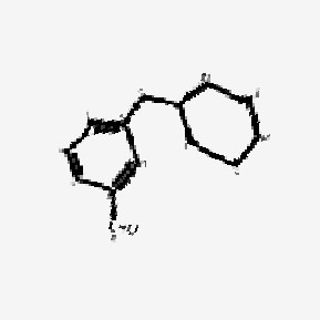 O=Cc1cccc(CC2CCCCC2)c1